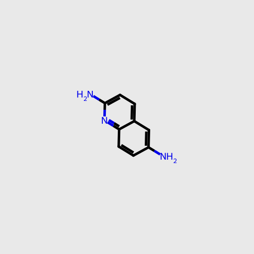 Nc1ccc2nc(N)ccc2c1